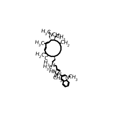 C=C1CCCC[C@@H](CCN(C)CC2=CN(C3=CN(C)C4C=CC=CC4=C3)N(C)N2)C[C@@H](C)C(=C)/C=C/C(C)=C/[C@H](CN(C)C)[C@@H](CC)C1